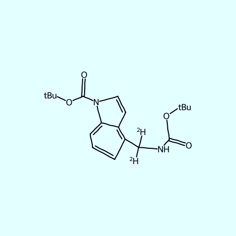 [2H]C([2H])(NC(=O)OC(C)(C)C)c1cccc2c1ccn2C(=O)OC(C)(C)C